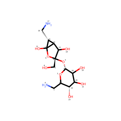 NCC1O[C@H](O[C@]2(CO)OC3(O)C(C2O)[C@H]3CN)C(O)C(O)[C@@H]1O